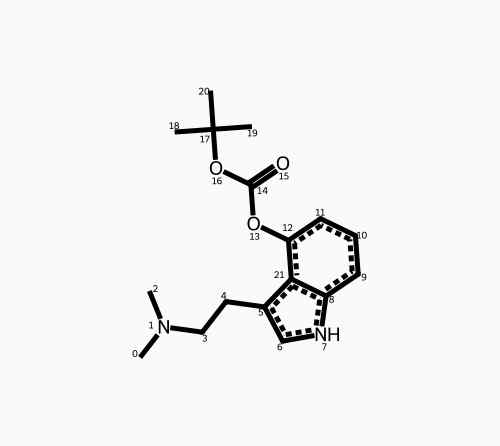 CN(C)CCc1c[nH]c2cccc(OC(=O)OC(C)(C)C)c12